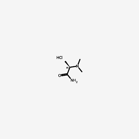 C[C@H](C(N)=O)N(C)C.Cl